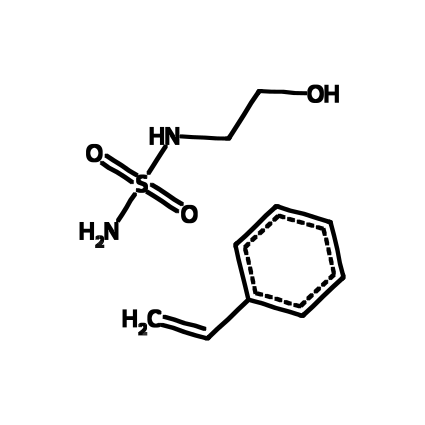 C=Cc1ccccc1.NS(=O)(=O)NCCO